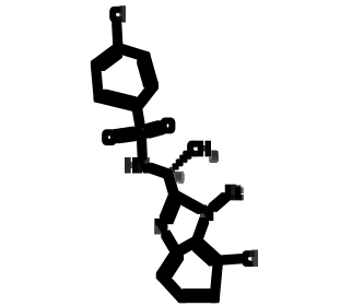 CCn1c([C@@H](C)NS(=O)(=O)c2ccc(Cl)cc2)nc2cccc(Cl)c21